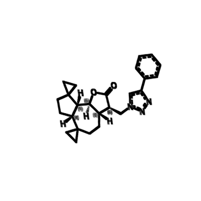 O=C1O[C@H]2[C@@H](CCC3(CC3)[C@@H]3CCC4(CC4)[C@H]23)[C@@H]1Cn1cc(-c2ccccc2)nn1